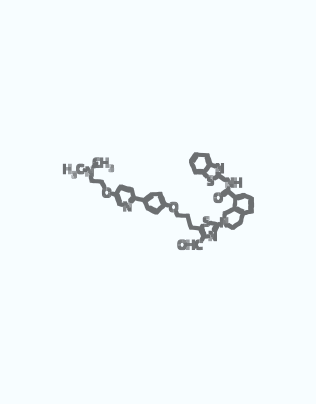 CN(C)CCOc1ccc(-c2ccc(OCCCc3sc(N4CCc5cccc(C(=O)Nc6nc7ccccc7s6)c5C4)nc3C=O)cc2)nc1